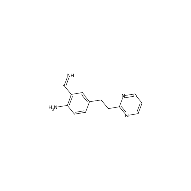 N=Cc1cc(CCc2ncccn2)ccc1N